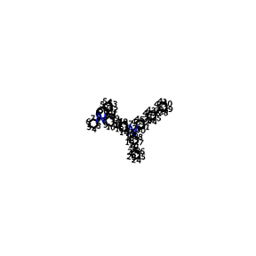 CN(c1ccccc1)C1C=CC(c2ccc(N(c3ccc(-c4ccccc4)cc3)c3ccc(-c4ccc(-c5ccccc5)cc4)cc3)cc2)=CC1c1ccccc1